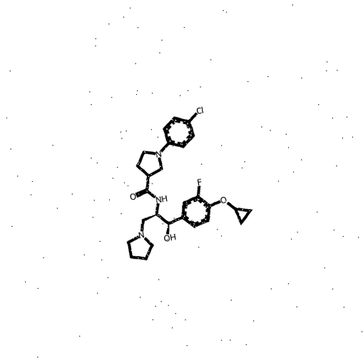 O=C(N[C@H](CN1CCCC1)[C@H](O)c1ccc(OC2CC2)c(F)c1)C1CCN(c2ccc(Cl)cc2)C1